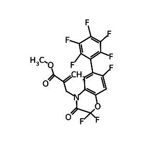 C=C(CN1C(=O)C(F)(F)Oc2cc(F)c(-c3c(F)c(F)c(F)c(F)c3F)cc21)C(=O)OC